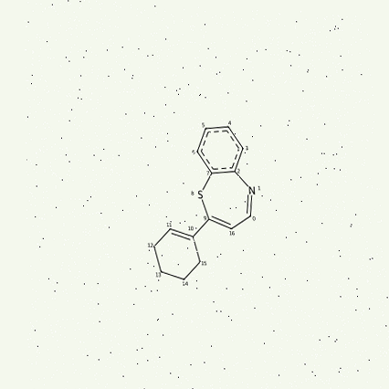 C1=Nc2ccccc2SC(C2=CCCCC2)=C1